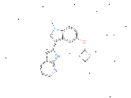 Cn1cc(-c2cc3cccnc3[nH]2)c2cc(OC3CCC3)ccc21